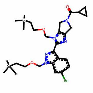 C[Si](C)(C)CCOCn1c(-c2nn(COCC[Si](C)(C)C)c3cc(Br)ccc23)nc2c1CN(C(=O)C1CC1)C2